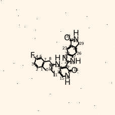 Cc1ccc(F)cc1C[C@H](CI)Nc1cc[nH]c(=O)c1-c1nc2cc3c(cc2[nH]1)CNC3=O